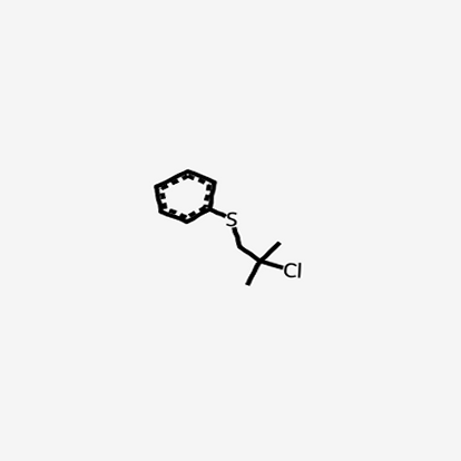 CC(C)(Cl)CSc1ccccc1